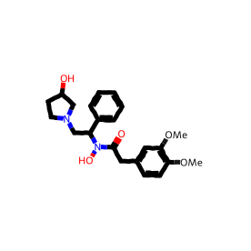 COc1ccc(CC(=O)N(O)C(CN2CCC(O)C2)c2ccccc2)cc1OC